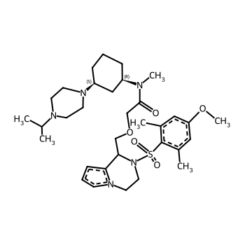 COc1cc(C)c(S(=O)(=O)N2CCn3cccc3C2COCC(=O)N(C)[C@@H]2CCC[C@H](N3CCN(C(C)C)CC3)C2)c(C)c1